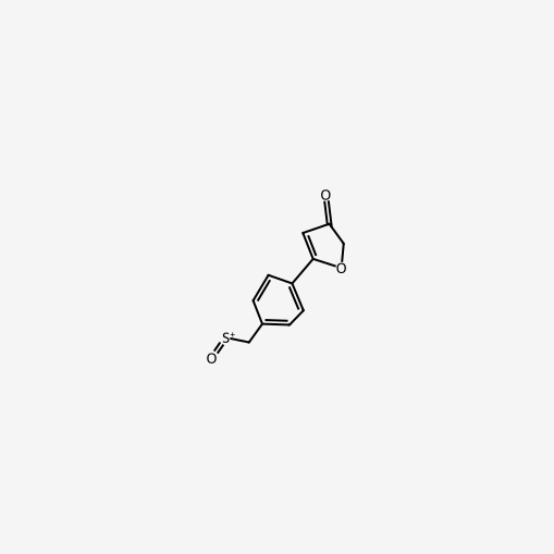 O=[S+]Cc1ccc(C2=CC(=O)CO2)cc1